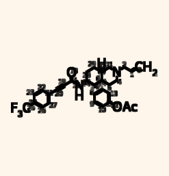 C=CCN1CC[C@@]2(c3cccc(OC(C)=O)c3)C[C@H](NC(=O)C#Cc3ccc(C(F)(F)F)cc3)CC[C@@H]2C1